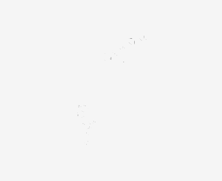 Cc1ncsc1-c1ccc([C@@H](C)NC(=O)[C@H]2C[C@H](O)CN2C(=O)[C@H](NC(=O)CCCCCCCCCCCCCCC(=O)Nc2cccc(Sc3ncc(N4CCC(C)(N)CC4)nc3N)c2Cl)C(C)(C)C)cc1